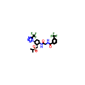 CC(C)S(=O)(=O)C[C@@H]1C[C@H](n2nnnc2C(F)(F)F)CC[C@@H]1NC(=O)CNC(=O)c1cccc(C(F)(F)F)c1